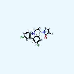 CC(CN1CCC(C)C1=O)Cn1c2ccc(F)cc2c2cc(F)ccc21